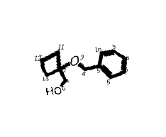 OCC1(OCc2ccccc2)CCC1